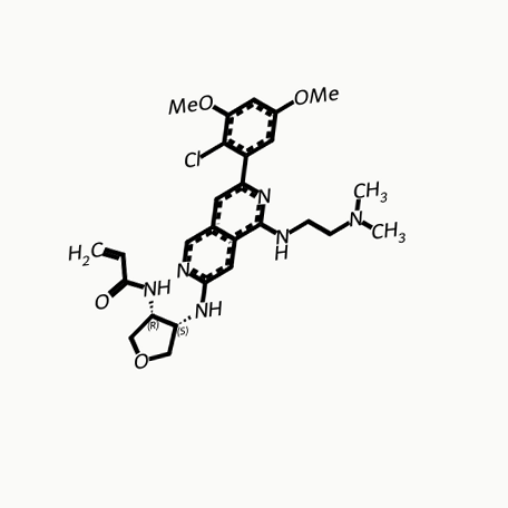 C=CC(=O)N[C@H]1COC[C@H]1Nc1cc2c(NCCN(C)C)nc(-c3cc(OC)cc(OC)c3Cl)cc2cn1